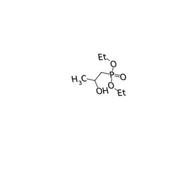 CCOP(=O)(CC(C)O)OCC